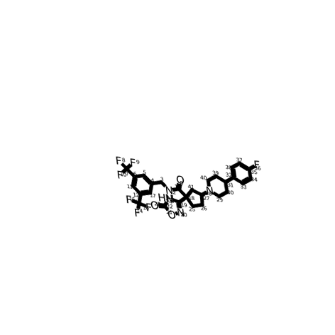 O=C(NCc1cc(C(F)(F)F)cc(C(F)(F)F)c1)C1(c2noc(=O)[nH]2)CCC(N2CCC(c3ccc(F)cc3)CC2)C1